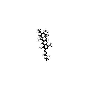 CN(C)c1cc(/C=C/C(=O)NC(C)(C)C)c(O)c2c1C[C@H]1C[C@H]3C(N(C)C)C(O)=C(C(N)=O)C(=O)[C@@]3(O)C(O)=C1C2=O